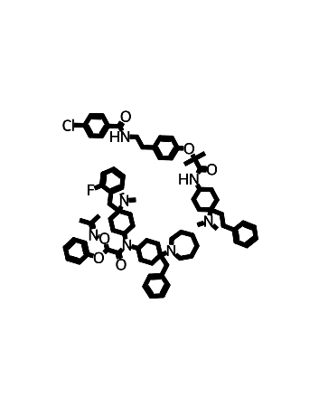 CC(C)=NOC(Oc1ccccc1)C(=O)N(C1CCC(Cc2ccccc2F)(N(C)C)CC1)C1CCC(Cc2ccccc2)(N2CCCCCC2)CC1.CN(C)C1(CCc2ccccc2)CCC(NC(=O)C(C)(C)Oc2ccc(CCNC(=O)c3ccc(Cl)cc3)cc2)CC1